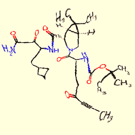 CC#CC(=O)CC[C@H](NC(=O)OC(C)(C)C)C(=O)N1C[C@H]2[C@@H]([C@H]1C(=O)NC(CC1CCC1)C(=O)C(N)=O)C2(C)C